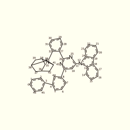 c1ccc(-c2cccc(-c3cc(-n4c5ccccc5c5ccccc54)nc(-c4ccccc4N4C5CC6CC(C5)CC4C6)n3)c2)cc1